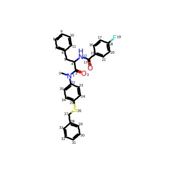 CN(C(=O)C(Cc1ccccc1)NC(=O)c1ccc(F)cc1)c1ccc(SCc2ccccc2)cc1